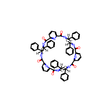 O=C1c2cccc(n2)C(=O)N2C[C@@H](c3ccccc3)N(C[C@H]2c2ccccc2)C(=O)c2cccc(n2)C(=O)N2C[C@@H](c3ccccc3)N(C[C@H]2c2ccccc2)C(=O)c2cccc(n2)C(=O)N2C[C@@H](c3ccccc3)N1C[C@H]2c1ccccc1